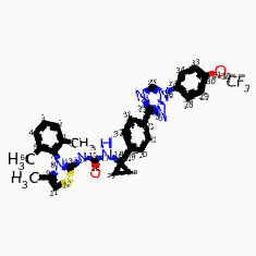 Cc1cccc(C)c1-n1c(C)cs/c1=N\C(=O)NC1(c2ccc(-c3ncn(-c4ccc(OC(F)(F)F)cc4)n3)cc2)CC1